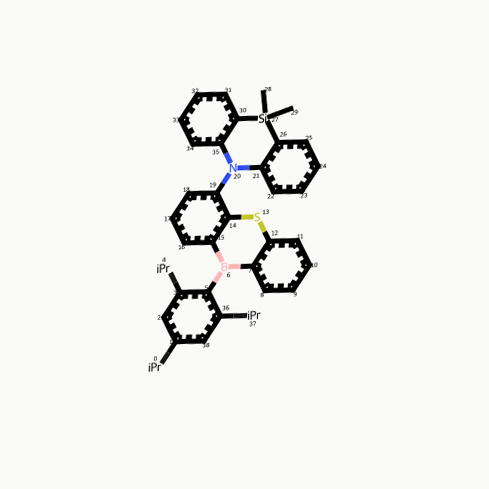 CC(C)c1cc(C(C)C)c(B2c3ccccc3Sc3c2cccc3N2c3ccccc3[Si](C)(C)c3ccccc32)c(C(C)C)c1